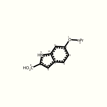 CCCOc1ccc2cc(C(=O)O)[nH]c2c1